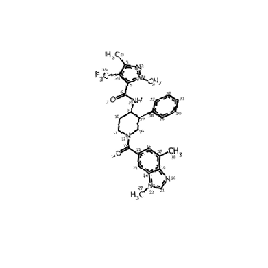 Cc1nn(C)c(C(=O)N[C@@H]2CCN(C(=O)c3cc(C)c4ncn(C)c4c3)C[C@@H]2c2ccccc2)c1C(F)(F)F